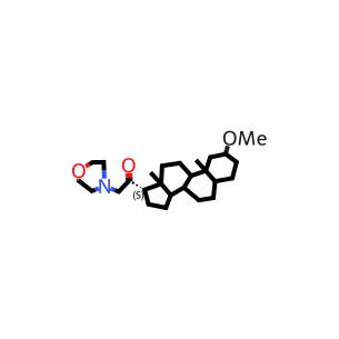 COC1CCC2CCC3C(CCC4(C)C3CC[C@@H]4C(=O)CN3CCOCC3)C2(C)C1